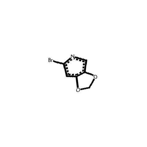 Brc1cc2c(cn1)OCO2